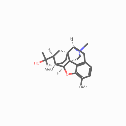 CCCC(C)(O)[C@H]1C[C@@]23CC[C@@]1(OC)[C@@H]1Oc4c(OC)ccc5c4[C@@]12CCN(C)[C@@H]3C5